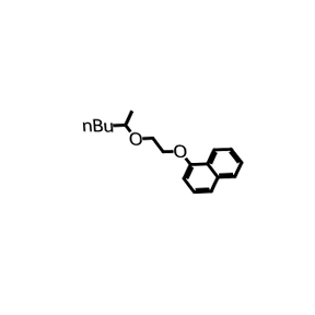 CCCCC(C)OCCOc1cccc2ccccc12